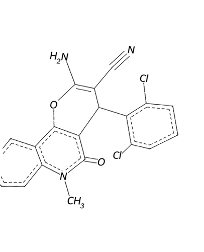 Cn1c(=O)c2c(c3ccccc31)OC(N)=C(C#N)C2c1c(Cl)cccc1Cl